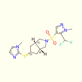 Cn1ccnc1S[C@H]1C[C@@H]2CN(S(=O)(=O)c3cnn(C)c3C(F)F)C[C@@H]2C1